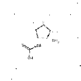 C1CCNC1.N.OC(=S)S